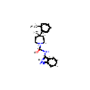 COc1ccccc1C1(C#N)CCN(C(=O)Nc2n[nH]c3ccccc23)CC1